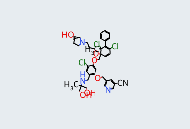 CC(CO)(CO)NCc1cc(Cl)c(OCC2(OCCCN3CC[C@@H](O)C3)C=CC(Cl)=C(c3ccccc3)C2(C)Cl)cc1OCc1cncc(C#N)c1